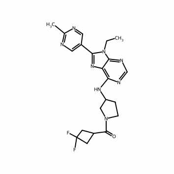 CCn1c(-c2cnc(C)nc2)nc2c(NC3CCN(C(=O)C4CC(F)(F)C4)C3)ncnc21